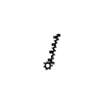 CCNCCCNCCCNCCCNC(C)C1CCCCCC1